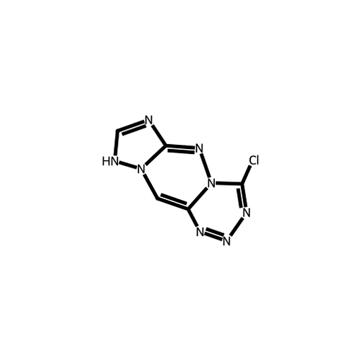 ClC1=NN=NC2=CN3NC=NC3=NN21